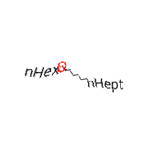 CCCCC[CH]OCCCCCCCCCCCCC